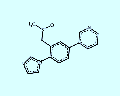 C[S+]([O-])Cc1cc(-c2cccnc2)ccc1-n1ccnc1